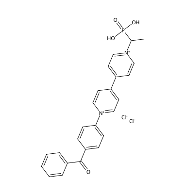 CC([n+]1ccc(-c2cc[n+](-c3ccc(C(=O)c4ccccc4)cc3)cc2)cc1)P(=O)(O)O.[Cl-].[Cl-]